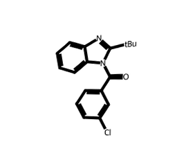 CC(C)(C)c1nc2ccccc2n1C(=O)c1cccc(Cl)c1